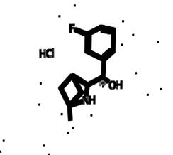 CC12CC(C1)C([C@H](O)c1cccc(F)c1)N2.Cl